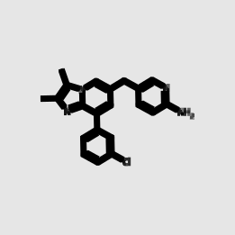 Cc1nc2c(-c3cccc(Cl)c3)cc(Cc3ccc(N)nc3)cn2c1C